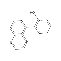 Oc1ccccc1-c1cccc2nccnc12